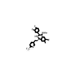 CNC(=O)C(N[C@H](CCc1ccc(C(F)(F)F)nc1)c1ccc(F)c(C)c1)c1ccc(F)c(F)c1